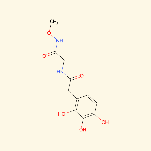 CONC(=O)CNC(=O)Cc1ccc(O)c(O)c1O